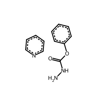 NNC(=O)Oc1ccccc1.c1ccncc1